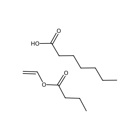 C=COC(=O)CCC.CCCCCCC(=O)O